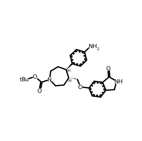 CC(C)(C)OC(=O)N1CC[C@@H](COc2ccc3c(c2)C(=O)NC3)[C@H](c2ccc(N)cc2)CC1